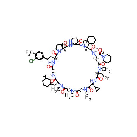 CC(C)C[C@H]1C(=O)N[C@@H](C2CC2)C(=O)N(C)CC(=O)N(C)CC(=O)N(C)[C@@H](CC2CCCCC2)C(=O)N(C)CC(=O)N[C@@H](CCc2ccc(C(F)(F)F)c(Cl)c2)C(=O)N2CCC[C@H]2C(=O)NC2(CCCC2)C(=O)N(C)[C@@H](C2CCCCC2)C(=O)N(C)[C@H](C(=O)N2CCCCC2)CC(=O)N1C